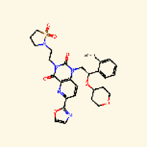 COc1ccccc1[C@H](Cn1c(=O)n(CCN2CCCS2(=O)=O)c(=O)c2nc(-c3ncco3)ccc21)OC1CCOCC1